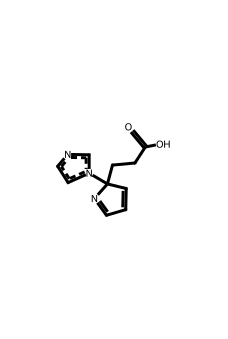 O=C(O)CCC1(n2ccnc2)C=CC=N1